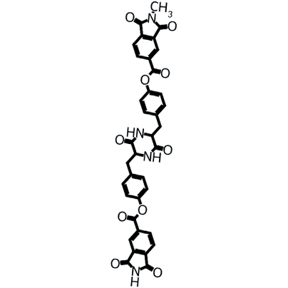 CN1C(=O)c2ccc(C(=O)Oc3ccc(CC4NC(=O)C(Cc5ccc(OC(=O)c6ccc7c(c6)C(=O)NC7=O)cc5)NC4=O)cc3)cc2C1=O